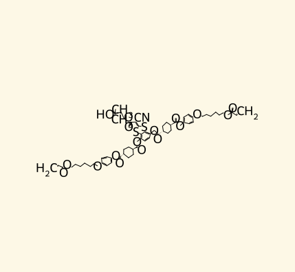 C=CC(=O)OCCCCCCOc1ccc(OC(=O)[C@H]2CC[C@H](C(=O)Oc3ccc(OC(=O)[C@H]4CC[C@H](C(=O)Oc5ccc(OCCCCCCOC(=O)C=C)cc5)CC4)c4c3SC(=C(C#N)C(=O)OCCC(C)(C)O)S4)CC2)cc1